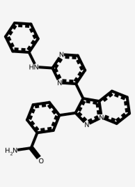 NC(=O)c1cccc(-c2nn3ccccc3c2-c2ccnc(Nc3ccccc3)n2)c1